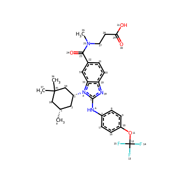 C[C@H]1C[C@@H](n2c(Nc3ccc(OC(F)(F)F)cc3)nc3ccc(C(=O)N(C)CCC(=O)O)cc32)CC(C)(C)C1